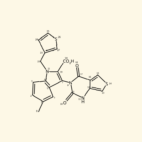 Cc1ccc2c(c1)c(-n1c(=O)[nH]c3cscc3c1=O)c(C(=O)O)n2Cc1ccsc1